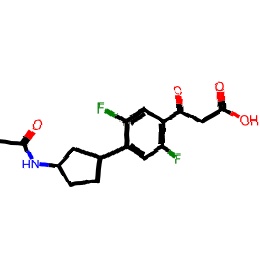 CC(=O)NC1CCC(c2cc(F)c(C(=O)CC(=O)O)cc2F)C1